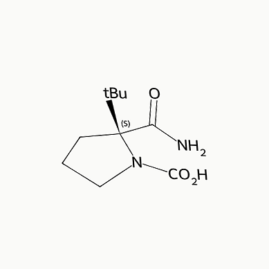 CC(C)(C)[C@]1(C(N)=O)CCCN1C(=O)O